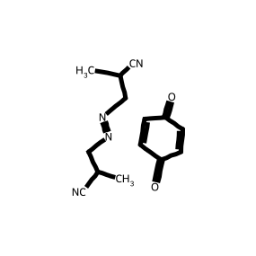 CC(C#N)CN=NCC(C)C#N.O=C1C=CC(=O)C=C1